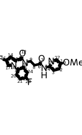 COc1ccc(NC(=O)CCn2c(=O)c3cc(F)cn3c3ccc(F)cc32)nc1